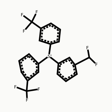 FC(F)c1cccc([S+](c2cccc(C(F)(F)F)c2)c2cccc(C(F)(F)F)c2)c1